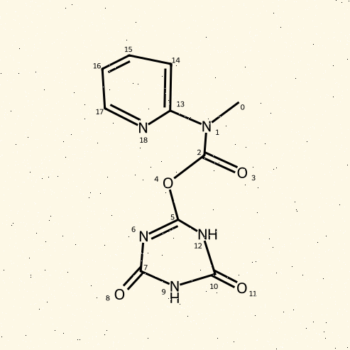 CN(C(=O)Oc1nc(=O)[nH]c(=O)[nH]1)c1ccccn1